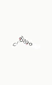 C=C(C)[C@@H]1CC[C@]2(CNCCN3CCS(=O)(=O)CC3)CC[C@]3(C)[C@H](CC[C@@H]4[C@@]5(C)CC=C(c6ccc(C(=O)O)cc6F)C(C)(C)[C@@H]5CC[C@]43C)[C@@H]12